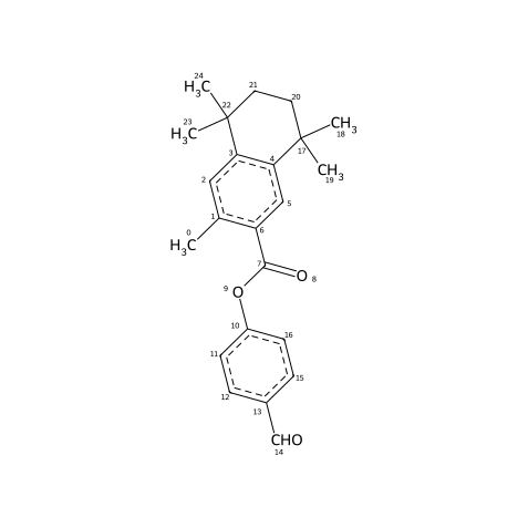 Cc1cc2c(cc1C(=O)Oc1ccc(C=O)cc1)C(C)(C)CCC2(C)C